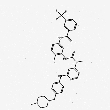 Cc1ccc(NC(=O)c2cccc(C(F)(F)F)c2)cc1NC(=O)N(C)c1cc(Nc2ccc(CN3CCN(C)CC3)cc2)ncn1